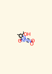 COC(=O)N1CCN(c2nc3c(C(C)O)cc(C)cc3c(=O)n2C)CC1